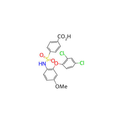 COc1ccc(NS(=O)(=O)c2ccc(C(=O)O)cc2)c(Oc2ccc(Cl)cc2Cl)c1